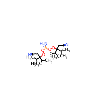 CC(C)C(CC#N)(OOP(N)OOC(CC#N)(C(C)C)C(C)C)C(C)C